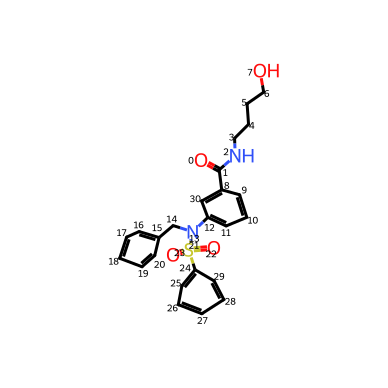 O=C(NCCCCO)c1cccc(N(Cc2ccccc2)S(=O)(=O)c2ccccc2)c1